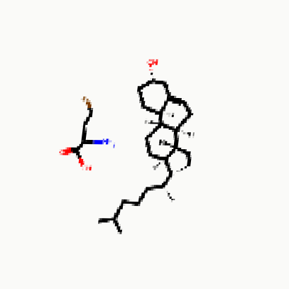 CC(C)CCC[C@@H](C)[C@H]1CC[C@H]2[C@@H]3CC=C4C[C@@H](O)CC[C@]4(C)[C@H]3CC[C@]12C.NC(CCS)C(=O)O